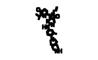 C=CCn1c(=O)c2cnc(Nc3ccc(N4CCC5(CCNCC5)CC4)c(C)c3)nc2n1-c1ccc(=O)n(C(C)C)n1